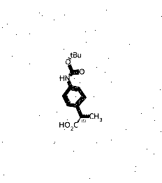 C[C@H](C(=O)O)c1ccc(NC(=O)OC(C)(C)C)cc1